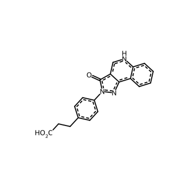 O=C(O)CCc1ccc(-n2nc3c4ccccc4[nH]cc-3c2=O)cc1